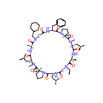 CCN1CC(=O)N[C@@H](CC(C)C)C(=O)N2CCC[C@@H]2C(=O)N(C)[C@@H](CC(C)C)C(=O)N[C@@H](C)C(=O)N(CC2CCCCC2)CC(=O)NC(Cc2ccccc2)C(=O)N2CCC[C@@H]2C(=O)N(C)[C@@H](CC(C)C)C(=O)N[C@@H](C)C1=O